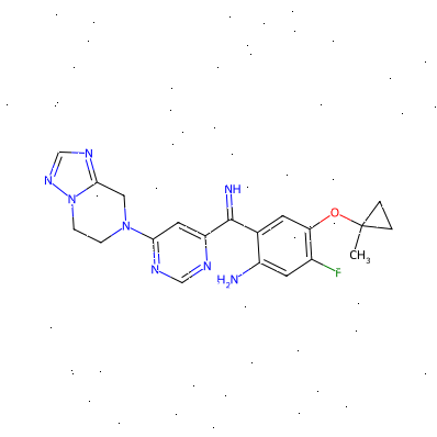 CC1(Oc2cc(C(=N)c3cc(N4CCn5ncnc5C4)ncn3)c(N)cc2F)CC1